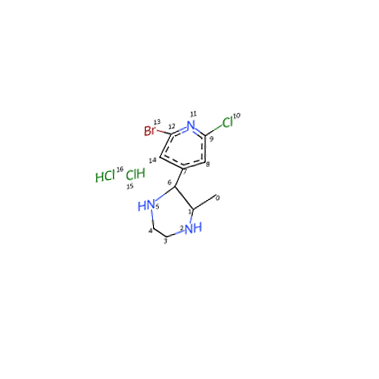 CC1NCCNC1c1cc(Cl)nc(Br)c1.Cl.Cl